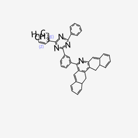 C/C=C\C(=C/C)c1nc(-c2ccccc2)nc(-c2cccc(-c3nc4c(c5c3C=C3C=CC=CC3C5)CC3C=CC=CC3=C4)c2)n1